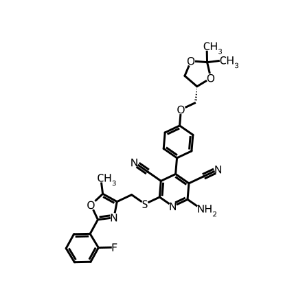 Cc1oc(-c2ccccc2F)nc1CSc1nc(N)c(C#N)c(-c2ccc(OC[C@@H]3COC(C)(C)O3)cc2)c1C#N